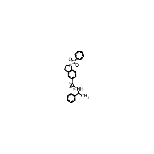 CC(N[C@@H]1C[C@H]1c1ccc2c(c1)CCN2S(=O)(=O)c1ccccc1)c1ccccc1